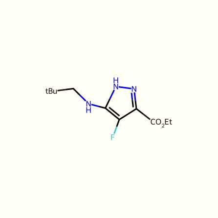 CCOC(=O)c1n[nH]c(NCC(C)(C)C)c1F